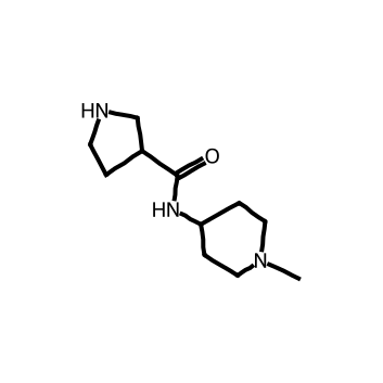 CN1CCC(NC(=O)C2CCNC2)CC1